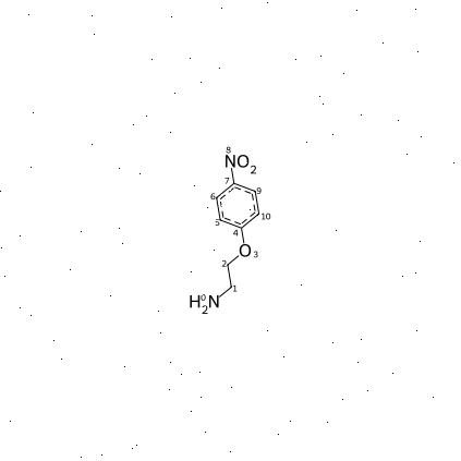 NCCOc1ccc([N+](=O)[O-])cc1